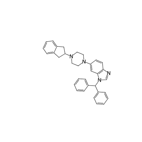 c1ccc(C(c2ccccc2)n2cnc3ccc(N4CCN(C5Cc6ccccc6C5)CC4)cc32)cc1